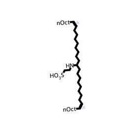 CCCCCCCC/C=C\CCCCCCCCC(CCCCCCCC/C=C\CCCCCCCC)NCCS(=O)(=O)O